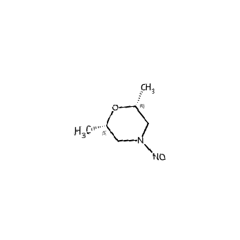 C[C@@H]1CN(N=O)C[C@H](C)O1